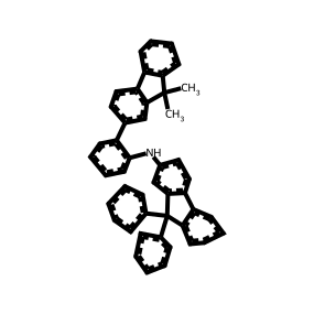 CC1(C)c2ccccc2-c2ccc(-c3ccccc3Nc3ccc4c(c3)C(c3ccccc3)(c3ccccc3)c3ccccc3-4)cc21